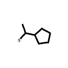 CC([S])C1CCCC1